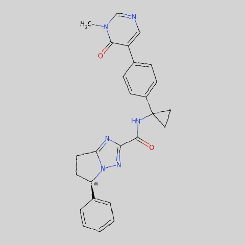 Cn1cncc(-c2ccc(C3(NC(=O)c4nc5n(n4)[C@@H](c4ccccc4)CC5)CC3)cc2)c1=O